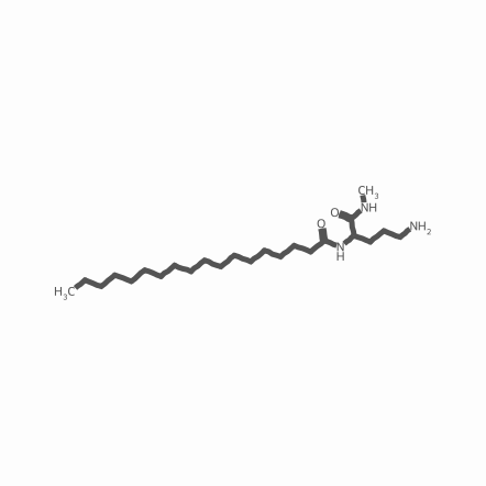 CCCCCCCCCCCCCCCCCC(=O)NC(CCCN)C(=O)NC